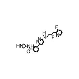 O=C(NC1CNC1)c1cccc(-c2ccc(NCC[C@H](F)Cc3ncccc3F)nn2)c1